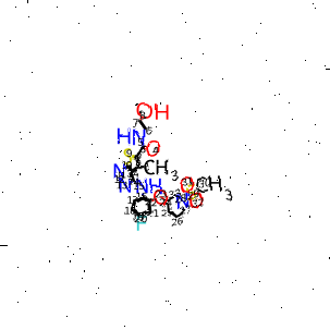 Cc1c(C(=O)NCCO)sc2ncnc(Nc3ccc(F)cc3O[C@@H]3CCCN(S(C)(=O)=O)C3)c12